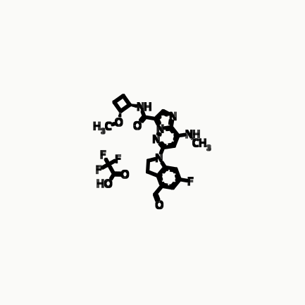 CNc1cc(N2CCc3c(C=O)cc(F)cc32)nn2c(C(=O)N[C@@H]3CC[C@H]3OC)cnc12.O=C(O)C(F)(F)F